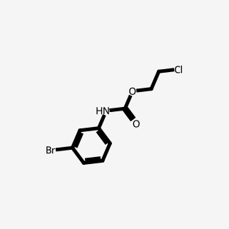 O=C(Nc1cccc(Br)c1)OCCCl